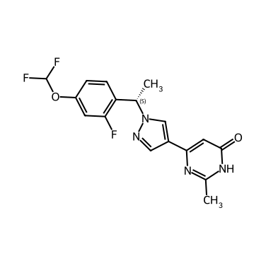 Cc1nc(-c2cnn([C@@H](C)c3ccc(OC(F)F)cc3F)c2)cc(=O)[nH]1